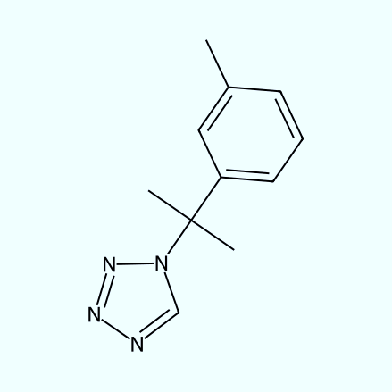 Cc1cccc(C(C)(C)n2cnnn2)c1